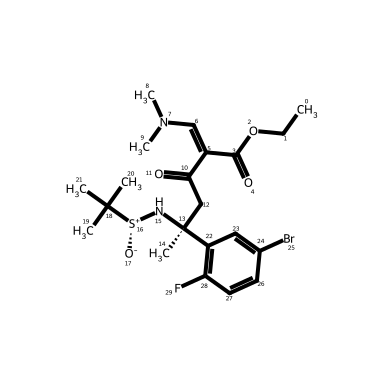 CCOC(=O)/C(=C/N(C)C)C(=O)C[C@](C)(N[S@+]([O-])C(C)(C)C)c1cc(Br)ccc1F